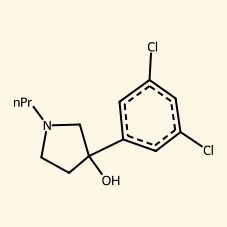 CCCN1CCC(O)(c2cc(Cl)cc(Cl)c2)C1